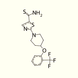 NC(=S)c1cnc(N2CCC(Oc3ccccc3C(F)(F)F)CC2)s1